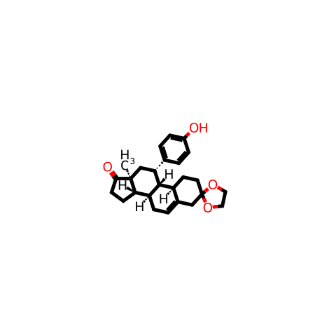 C[C@]12C[C@H](c3ccc(O)cc3)[C@H]3[C@@H](CC=C4CC5(CC[C@@H]43)OCCO5)[C@@H]1CCC2=O